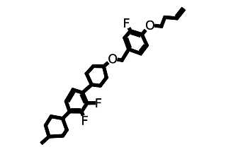 C=CCCOc1ccc(COC2CCC(c3ccc(C4CCC(C)CC4)c(F)c3F)CC2)cc1F